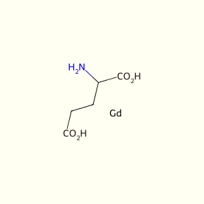 NC(CCC(=O)O)C(=O)O.[Gd]